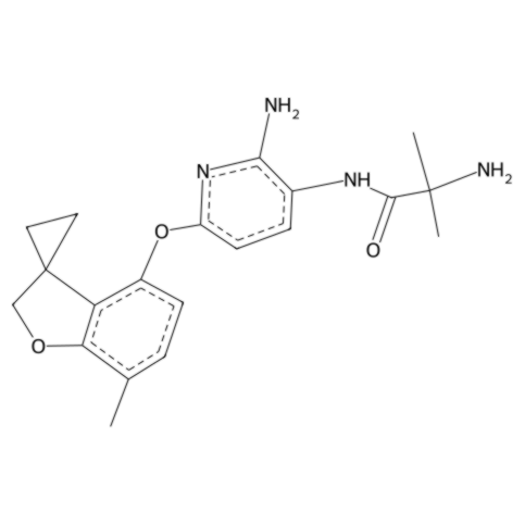 Cc1ccc(Oc2ccc(NC(=O)C(C)(C)N)c(N)n2)c2c1OCC21CC1